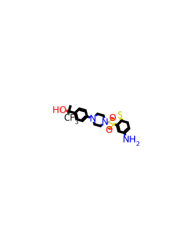 CC(O)(c1ccc(N2CCN(S(=O)(=O)C3=CC(N)=CCC3=S)CC2)cc1)C(F)(F)F